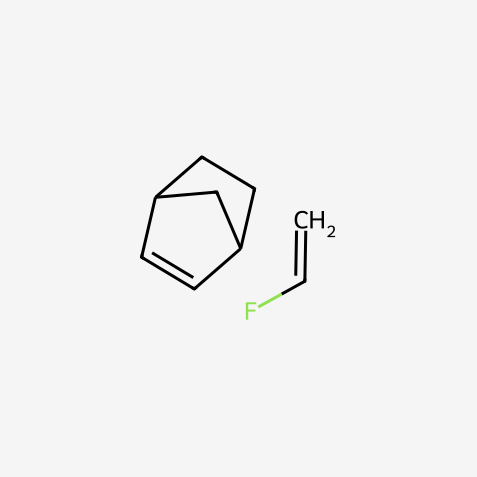 C1=CC2CCC1C2.C=CF